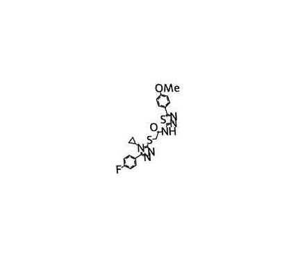 COc1ccc(-c2nnc(NC(=O)CSc3nnc(-c4ccc(F)cc4)n3C3CC3)s2)cc1